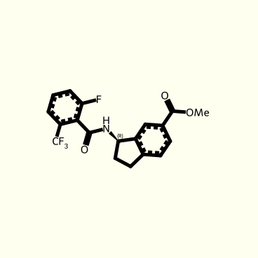 COC(=O)c1ccc2c(c1)[C@H](NC(=O)c1c(F)cccc1C(F)(F)F)CC2